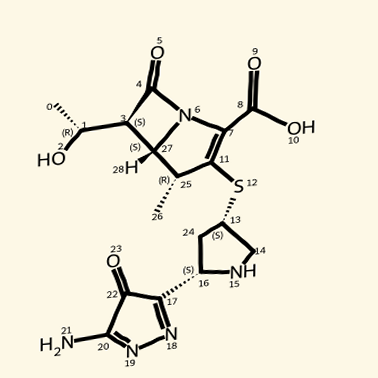 C[C@@H](O)[C@H]1C(=O)N2C(C(=O)O)=C(S[C@@H]3CN[C@H](C4=NN=C(N)C4=O)C3)[C@H](C)[C@H]12